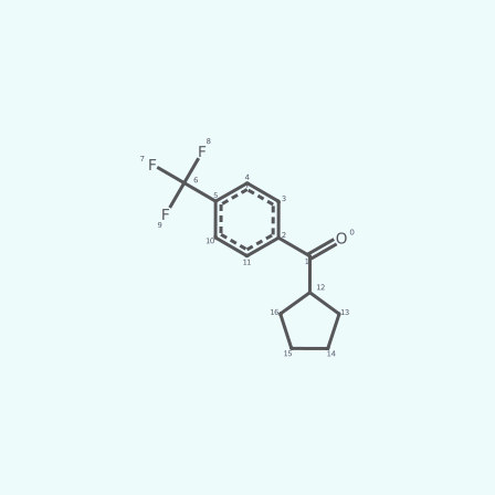 O=C(c1c[c]c(C(F)(F)F)cc1)C1CCCC1